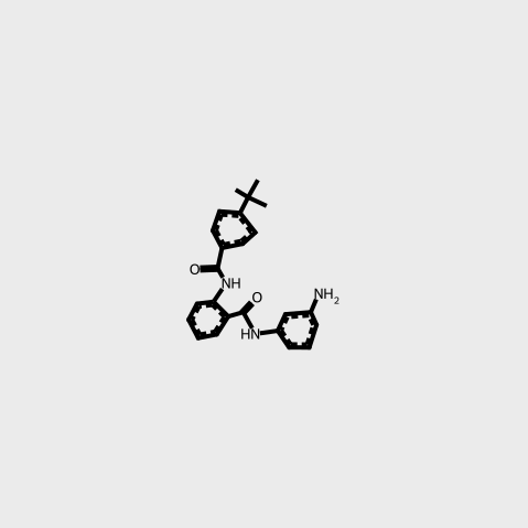 CC(C)(C)c1ccc(C(=O)Nc2ccccc2C(=O)Nc2cccc(N)c2)cc1